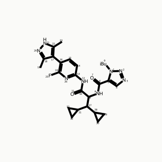 CCC(C)n1nncc1C(=O)NC(C(=O)Nc1ccc(-c2c(C)n[nH]c2C)c(F)n1)C(C1CC1)C1CC1